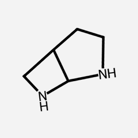 C1CC2CNC2N1